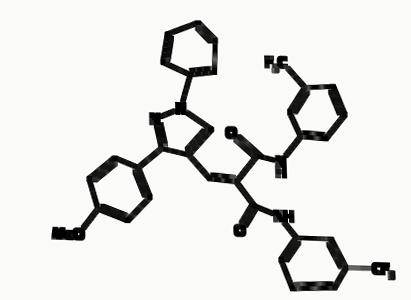 COc1ccc(-c2nn(-c3ccccc3)cc2C=C(C(=O)Nc2cccc(C(F)(F)F)c2)C(=O)Nc2cccc(C(F)(F)F)c2)cc1